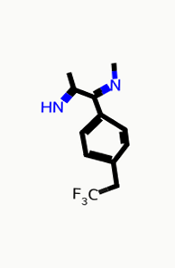 C/N=C(\C(C)=N)c1ccc(CC(F)(F)F)cc1